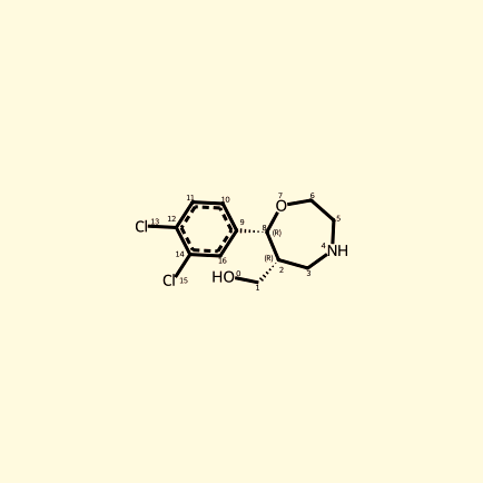 OC[C@H]1CNCCO[C@H]1c1ccc(Cl)c(Cl)c1